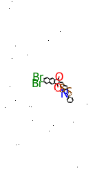 O=C1C(=Cc2cc3sc(-c4ccccc4)nc3s2)C(=O)c2cc3cc(Br)c(Br)cc3cc21